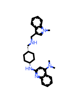 CN(C)c1cc(N[C@H]2CC[C@@H](CNCc3cn(C)c4ccccc34)CC2)nc2ccccc12